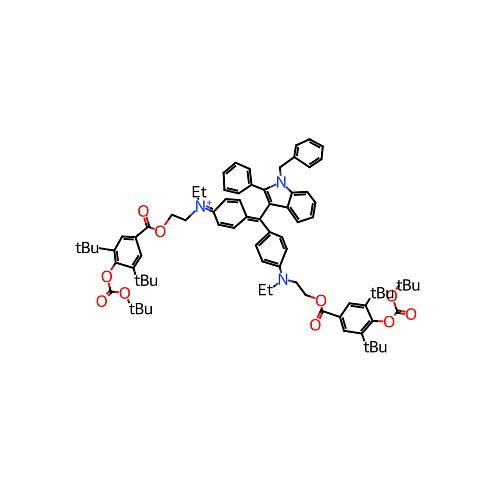 CCN(CCOC(=O)c1cc(C(C)(C)C)c(OC(=O)OC(C)(C)C)c(C(C)(C)C)c1)c1ccc(C(=C2C=CC(=[N+](CC)CCOC(=O)c3cc(C(C)(C)C)c(OC(=O)OC(C)(C)C)c(C(C)(C)C)c3)C=C2)c2c(-c3ccccc3)n(Cc3ccccc3)c3ccccc23)cc1